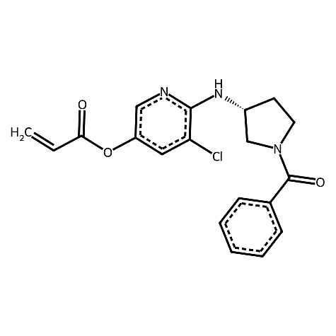 C=CC(=O)Oc1cnc(N[C@@H]2CCN(C(=O)c3ccccc3)C2)c(Cl)c1